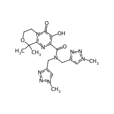 Cn1cc(CN(Cc2cn(C)nn2)C(=O)c2nc3n(c(=O)c2O)CCOC3(C)C)nn1